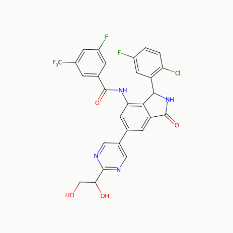 O=C(Nc1cc(-c2cnc(C(O)CO)nc2)cc2c1C(c1cc(F)ccc1Cl)NC2=O)c1cc(F)cc(C(F)(F)F)c1